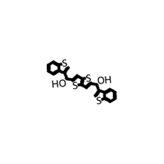 OC(c1cc2sc(C(O)c3csc4ccccc34)cc2s1)c1csc2ccccc12